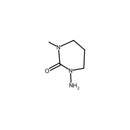 CN1CCCN(N)C1=O